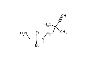 C#CC(C)(C)/C=C/NC(CC)(CC)CN